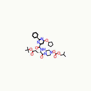 CC(C)COC(=O)ON1CCN(C(=O)[C@H](CCC(=O)OC(C)(C)C)NC(=O)c2cc(OC3CCCC3)nc(-c3ccccc3)n2)CC1